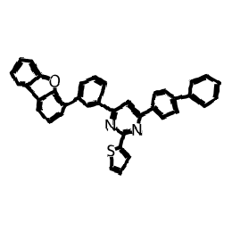 c1ccc(-c2ccc(-c3cc(-c4cccc(-c5cccc6c5oc5ccccc56)c4)nc(-c4cccs4)n3)cc2)cc1